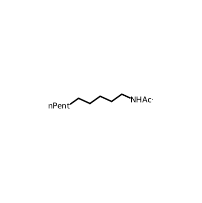 CCCCCCCCCC[N]C(C)=O